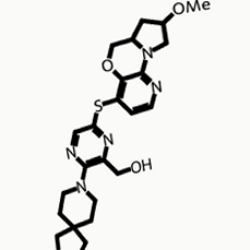 COC1CC2COc3c(Sc4cnc(N5CCC6(CCOC6)CC5)c(CO)n4)ccnc3N2C1